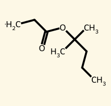 [CH2]CC(=O)OC(C)(C)CCC